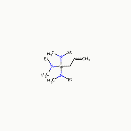 C=CC[Si](N(C)CC)(N(C)CC)N(C)CC